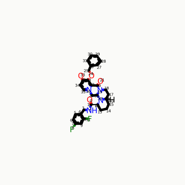 O=C(NCc1ccc(F)cc1F)[C@@H]1CCC[C@H]2CCN3C(=O)c4c(OCc5ccccc5)c(=O)ccn4CC3N21